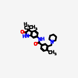 Cc1ccc(C(=O)Nc2ccc3c(c2)NC(=O)C3(C)C)cc1CN1CCCCC1